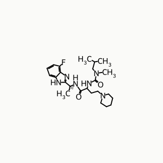 CC(C)CN(C)C(=O)NC(CCN1CCCCC1)C(=O)N[C@@H](C)c1nc2c(F)cccc2[nH]1